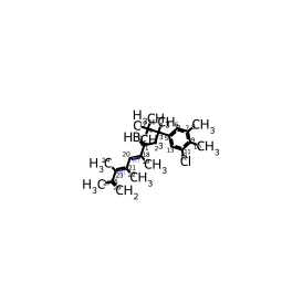 B=C(CC(C)(c1cc(C)c(C)c(Cl)c1)C(C)(C)C)/C(C)=C/C(C)=C(\C)C(=C)C